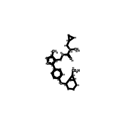 Cc1noc(-c2ccc(OC3CCCC4C(C(=O)O)C34)cc2)c1COC(=O)N(C)CC1CC1